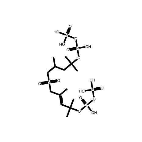 C/C(=C\C(C)(C)OP(=O)(O)OP(=O)(O)O)CS(=O)(=O)CC(C)CC(C)(C)OP(=O)(O)OP(=O)(O)O